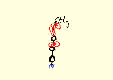 C=CC(=O)OCOc1ccc(C(=O)Oc2ccc(-c3ccc(C#N)cc3)cc2)cc1